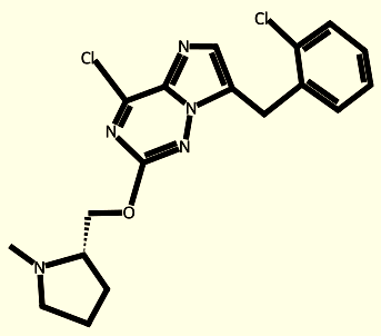 CN1CCC[C@H]1COc1nc(Cl)c2ncc(Cc3ccccc3Cl)n2n1